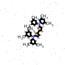 Cc1cc(C)cc(N(c2cc(C)cc(C)c2)c2ccc(-c3ccc(N(c4cc(C)cc(C)c4)c4cc(C)cc(C)c4)s3)s2)c1